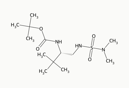 CN(C)S(=O)(=O)NC[C@@H](NC(=O)OC(C)(C)C)C(C)(C)C